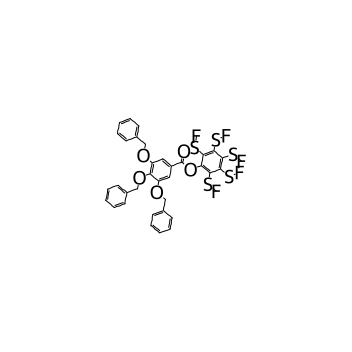 O=C(Oc1c(SF)c(SF)c(SF)c(SF)c1SF)c1cc(OCc2ccccc2)c(OCc2ccccc2)c(OCc2ccccc2)c1